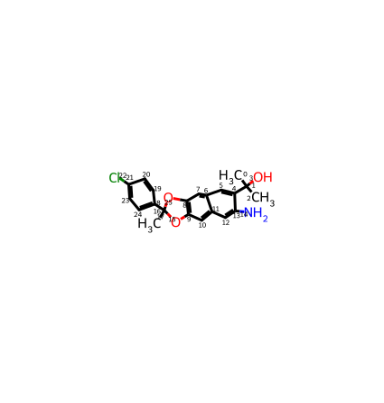 CC(C)(O)c1cc2cc3c(cc2cc1N)OC(C)(c1ccc(Cl)cc1)O3